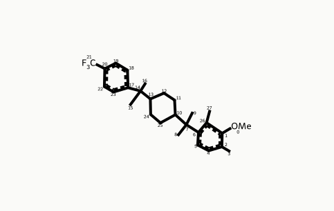 COc1c(C)ccc(C(C)(C)C2CCC(C(C)(C)c3ccc(C(F)(F)F)cc3)CC2)c1C